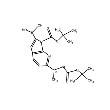 C[C@@H](NC(=O)OC(C)(C)C)c1ccc2cc(B(O)O)n(C(=O)OC(C)(C)C)c2n1